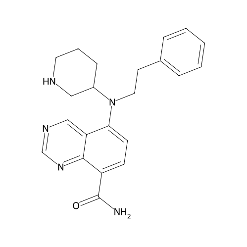 NC(=O)c1ccc(N(CCc2ccccc2)C2CCCNC2)c2cncnc12